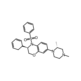 C[C@@H]1CN(C)CCN1c1ccc2c(c1)OC[C@@H](C1C=CC=CC1)N2S(=O)(=O)c1ccccc1